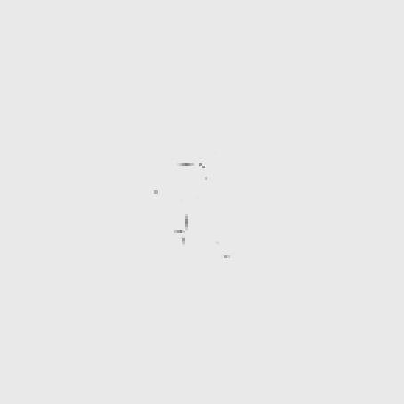 CCSP(=S)(S)C1CC(=O)N(C)[S+]1[O-]